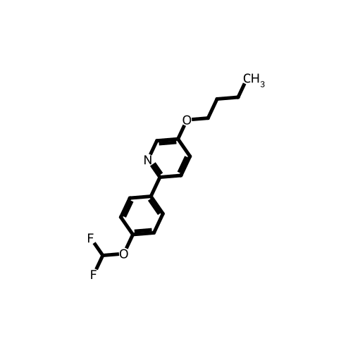 CCCCOc1ccc(-c2ccc(OC(F)F)cc2)nc1